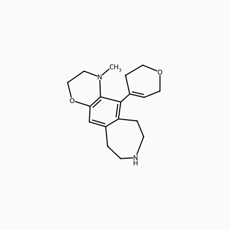 CN1CCOc2cc3c(c(C4=CCOCC4)c21)CCNCC3